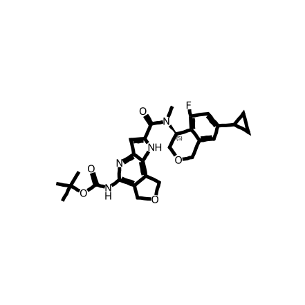 CN(C(=O)c1cc2nc(NC(=O)OC(C)(C)C)c3c(c2[nH]1)COC3)[C@@H]1COCc2cc(C3CC3)cc(F)c21